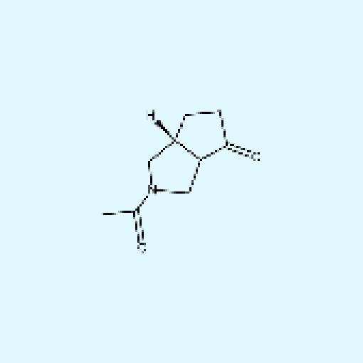 CC(=O)N1CC2C(=O)CC[C@H]2C1